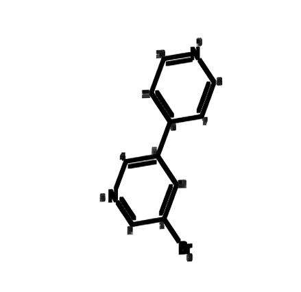 Brc1cncc(-c2ccncc2)c1